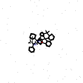 C=C/C(=C(\N=C(/NC)c1ccccc1)c1ccccc1)c1cccc2c1C1(c3ccccc3-c3ccccc31)c1ccccc1C2(C)C